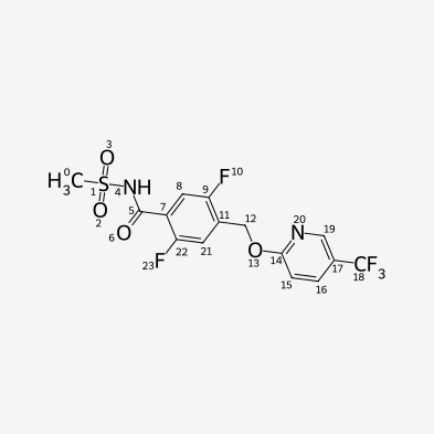 CS(=O)(=O)NC(=O)c1cc(F)c(COc2ccc(C(F)(F)F)cn2)cc1F